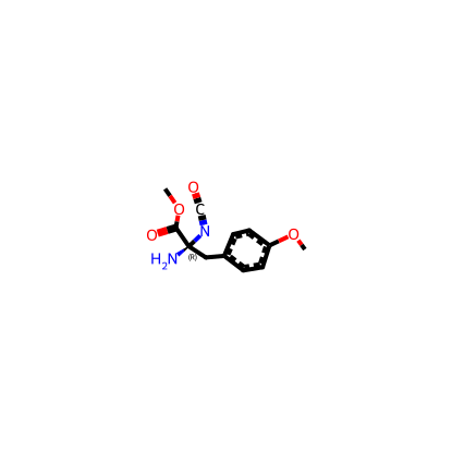 COC(=O)[C@@](N)(Cc1ccc(OC)cc1)N=C=O